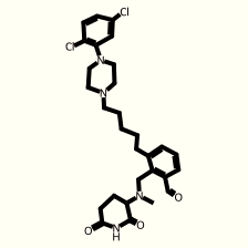 CN(Cc1c(C=O)cccc1CCCCCN1CCN(c2cc(Cl)ccc2Cl)CC1)C1CCC(=O)NC1=O